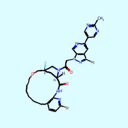 CC(=O)c1nn(CC(=O)N2C[C@@]3(F)COCCCCCCc4ccc(Br)nc4NC(=O)[C@@H]2C3)c2cnc(-c3cnc(C)nc3)cc12